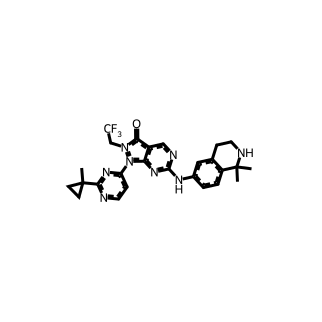 CC1(c2nccc(-n3c4nc(Nc5ccc6c(c5)CCNC6(C)C)ncc4c(=O)n3CC(F)(F)F)n2)CC1